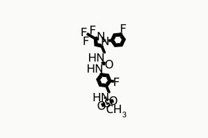 CS(=O)(=O)NCc1ccc(NC(=O)NCc2cc(C(F)(F)F)nn2-c2cccc(F)c2)cc1F